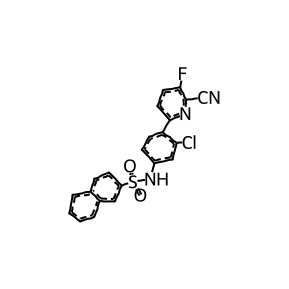 N#Cc1nc(-c2ccc(NS(=O)(=O)c3ccc4ccccc4c3)cc2Cl)ccc1F